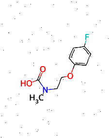 CN(CCOc1ccc(F)cc1)C(=O)O